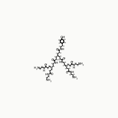 NCCNC(=O)CCN(CCNC(=O)CCN(CCC(=O)NCCc1ccc(O)cc1)CCC(=O)NCCN(CCC(=O)NCCN)CCC(=O)NCCN)CCC(=O)NCCN